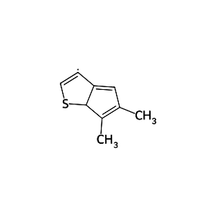 CC1=C(C)C2SC=[C]C2=C1